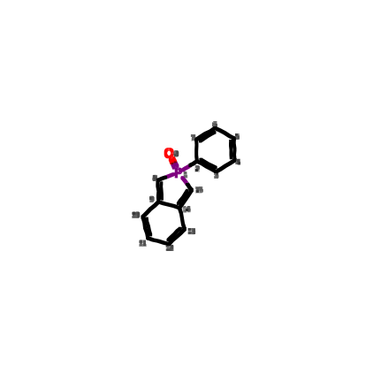 O=P1(c2ccccc2)C=c2ccccc2=C1